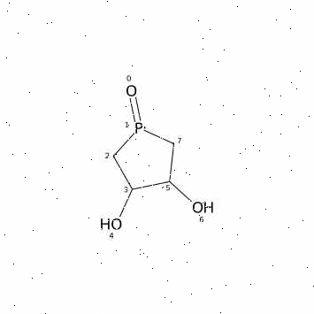 O=[P]1CC(O)C(O)C1